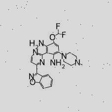 CN1CCN(c2cc(OC(F)F)c(N)c(-c3nccc(-c4noc5ccccc45)n3)c2N)CC1